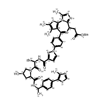 COC(=O)CC1N=C(c2ccc(-n3ccc(C(=O)NC(C(=O)N4C[C@H](O)CC4C(=O)NC(C)c4ccc(-c5scnc5C)cc4)C(C)(C)C)n3)cc2)c2c(sc(C)c2C)-n2c(C)nnc21